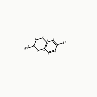 CC(C)N1CCc2cc(I)ccc2C1